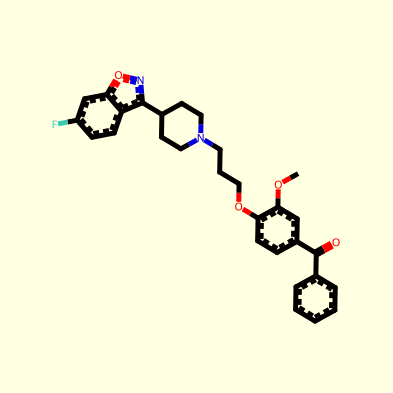 COc1cc(C(=O)c2ccccc2)ccc1OCCCN1CCC(c2noc3cc(F)ccc23)CC1